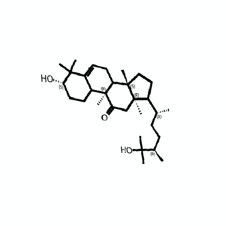 C[C@H](CC[C@@H](C)C(C)(C)O)C1CC[C@@]2(C)C3CC=C4C(CC[C@H](O)C4(C)C)[C@]3(C)C(=O)C[C@]12C